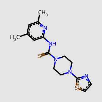 Cc1cc(C)nc(NC(=S)N2CCN(c3nccs3)CC2)c1